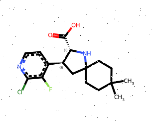 CC1(C)CCC2(CC1)C[C@@H](c1ccnc(Cl)c1F)[C@H](C(=O)O)N2